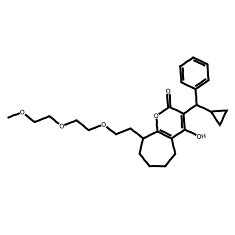 COCCOCCOCCC1CCCCc2c1oc(=O)c(C(c1ccccc1)C1CC1)c2O